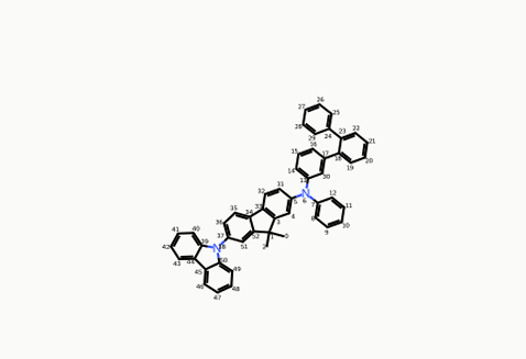 CC1(C)c2cc(N(c3ccccc3)c3cccc(-c4ccccc4-c4ccccc4)c3)ccc2-c2ccc(-n3c4ccccc4c4ccccc43)cc21